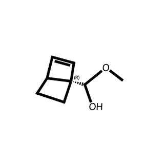 COC(O)[C@@]12C=CC1CC2